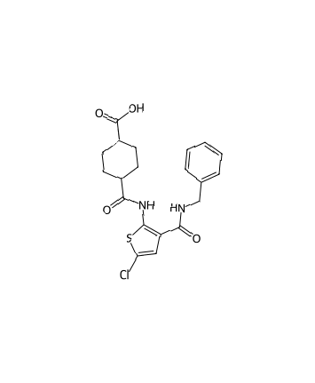 O=C(NCc1ccccc1)c1cc(Cl)sc1NC(=O)C1CCC(C(=O)O)CC1